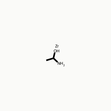 CC(N)O.[Zr]